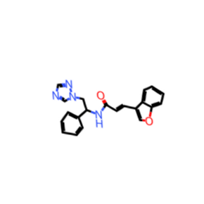 O=C(/C=C/c1coc2ccccc12)NC(Cn1cncn1)c1ccccc1